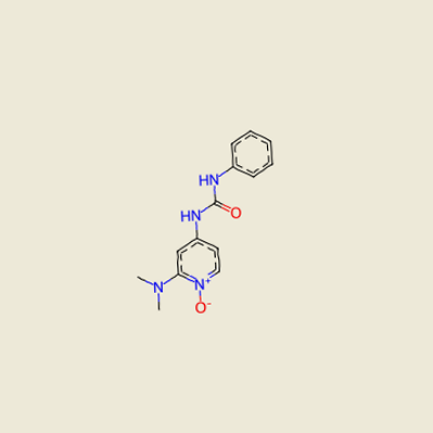 CN(C)c1cc(NC(=O)Nc2ccccc2)cc[n+]1[O-]